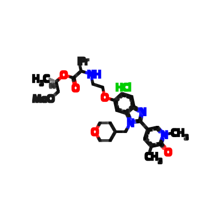 COC[C@H](C)OC(=O)C(NCCOc1ccc2nc(-c3cc(C)c(=O)n(C)c3)n(CC3CCOCC3)c2c1)C(C)C.Cl